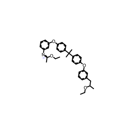 CCO/C(C)=N\c1cccc(Oc2ccc(C(C)(C)c3ccc(Oc4cccc(CC(C)OCC)c4)cc3)cc2)c1